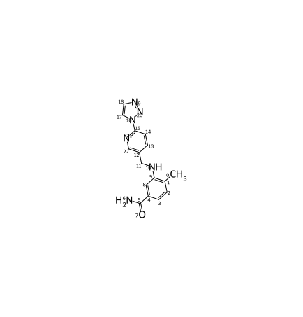 Cc1ccc(C(N)=O)cc1NCc1ccc(-n2ccnn2)nc1